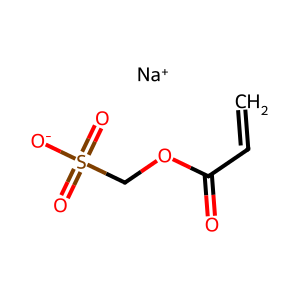 C=CC(=O)OCS(=O)(=O)[O-].[Na+]